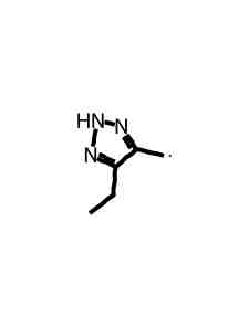 [CH2]c1n[nH]nc1CC